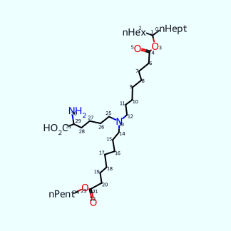 CCCCCCCC(CCCCCC)OC(=O)CCCCCCCN(CCCCCCCC(=O)OCCCCC)CCCCC(N)C(=O)O